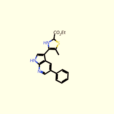 CCOC(=O)C1NC(c2c[nH]c3ncc(-c4ccccc4)cc23)=C(C)S1